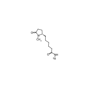 [2H]NC(=O)CCCCC[C@@H]1CCC(=O)N1C